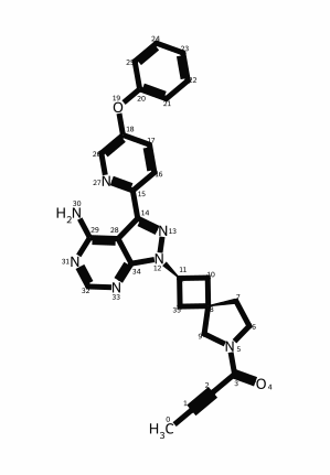 CC#CC(=O)N1CC[C@]2(C1)C[C@H](n1nc(-c3ccc(Oc4ccccc4)cn3)c3c(N)ncnc31)C2